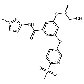 C[C@@H](CO)Oc1cc(Oc2ccc(S(C)(=O)=O)nc2)cc(C(=O)Nc2ccn(C)n2)c1